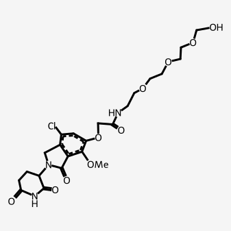 COc1c(OCC(=O)NCCOCCOCCOCO)cc(Cl)c2c1C(=O)N(C1CCC(=O)NC1=O)C2